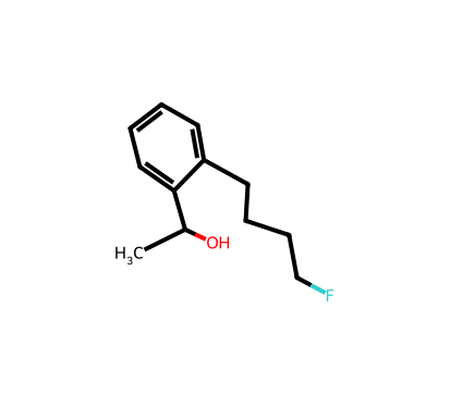 CC(O)c1ccccc1CCCCF